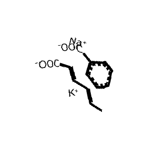 CC=CC=CC(=O)[O-].O=C([O-])c1ccccc1.[K+].[Na+]